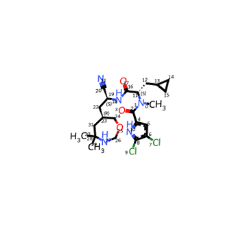 CN(C(=O)c1cc(Cl)c(Cl)[nH]1)[C@@H](CC1CC1)C(=O)N[C@H](C#N)C[C@H]1COCNC(C)(C)C1